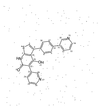 O=c1[nH]c2scc(-c3ccc(-c4cccnc4)cc3)c2c(O)c1-c1cccnc1